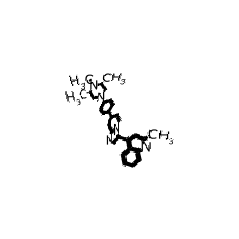 Cc1cc(-c2cnc3cc(-c4ccc(N5C[C@@H](C)N(C)[C@@H](C)C5)cc4)ccn23)c2ccccc2n1